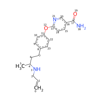 C=CCNC(C)CCc1ccc(Oc2ccc(C(N)=O)cn2)cc1